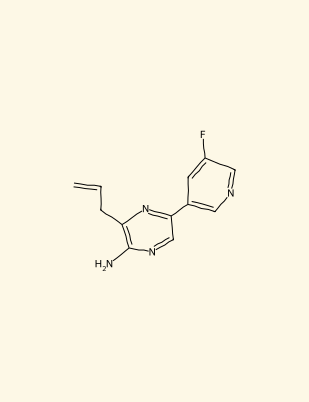 C=CCc1nc(-c2cncc(F)c2)cnc1N